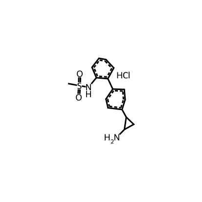 CS(=O)(=O)Nc1ccccc1-c1ccc(C2CC2N)cc1.Cl